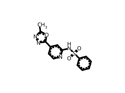 Cc1nnc(-c2ccnc(NS(=O)(=O)c3ccccc3)c2)o1